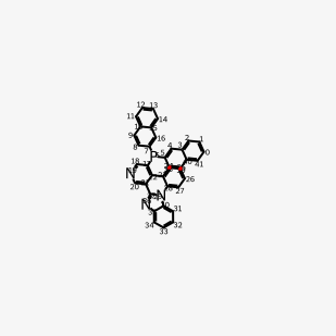 c1ccc2cc(P(c3ccc4ccccc4c3)c3cncc4c3c3ccccc3n3c5ccccc5nc43)ccc2c1